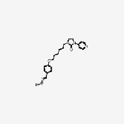 CCON=Cc1ccc(OCCCCCCN2CCN(c3ccncc3)C2=O)cc1